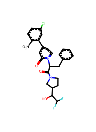 O=C(C(Cc1ccccc1)n1ccc(-c2cc(Cl)ccc2[N+](=O)[O-])cc1=O)N1CCC(C(O)C(F)F)C1